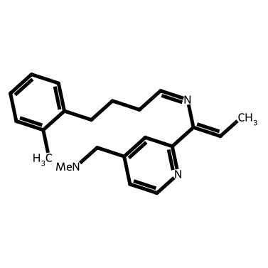 C/C=C(\N=C/CCCc1ccccc1C)c1cc(CNC)ccn1